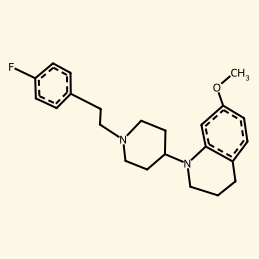 COc1ccc2c(c1)N(C1CCN(CCc3ccc(F)cc3)CC1)CCC2